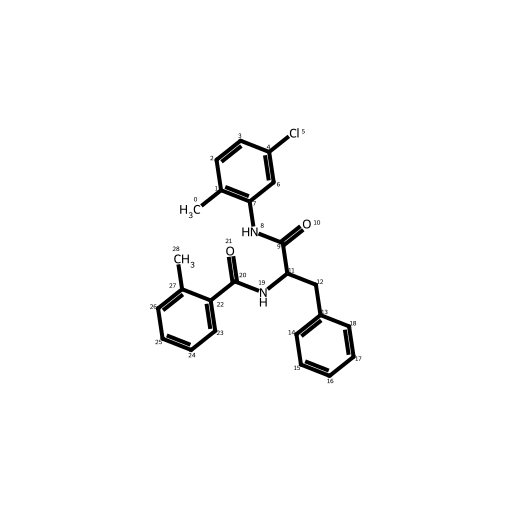 Cc1ccc(Cl)cc1NC(=O)C(Cc1ccccc1)NC(=O)c1ccccc1C